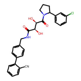 N#Cc1ccccc1-c1ccc(CNC(=O)[C@H](O)[C@@H](O)C(=O)N2CCCC2c2cccc(Cl)c2)cc1